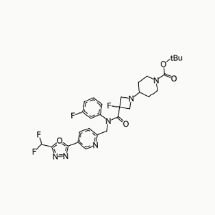 CC(C)(C)OC(=O)N1CCC(N2CC(F)(C(=O)N(Cc3ccc(-c4nnc(C(F)F)o4)cn3)c3cccc(F)c3)C2)CC1